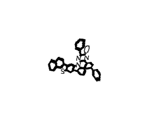 c1ccc(-c2ccc(-c3nc4oc5ccccc5c4nc3-n3c4ccccc4c4cc5sc6c7ccccc7ccc6c5cc43)cc2)cc1